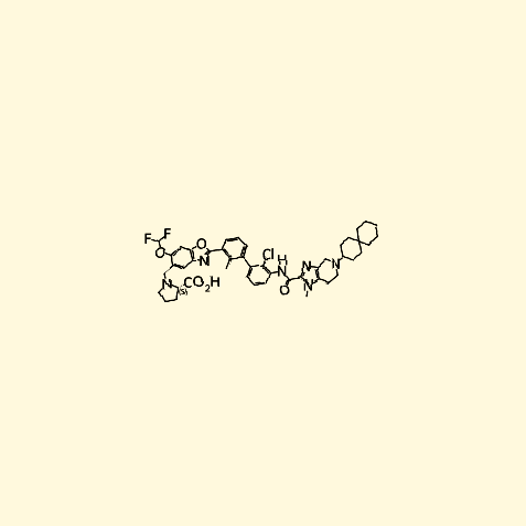 Cc1c(-c2nc3cc(CN4CCC[C@H]4C(=O)O)c(OC(F)F)cc3o2)cccc1-c1cccc(NC(=O)c2nc3c(n2C)CCN(C2CCC4(CCCCC4)CC2)C3)c1Cl